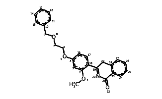 COc1cc(OCCOCc2ccccc2)ccc1C1=NC(=O)c2ccccc2C1